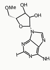 COC[C@H]1O[C@@H](n2cnc3c(N)nc(I)nc32)C(O)C1O